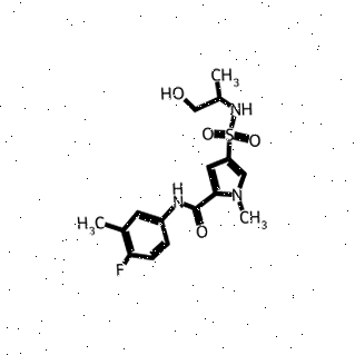 Cc1cc(NC(=O)c2cc(S(=O)(=O)NC(C)CO)cn2C)ccc1F